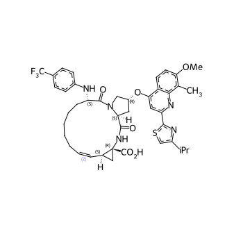 COc1ccc2c(O[C@@H]3C[C@H]4C(=O)N[C@]5(C(=O)O)C[C@H]5/C=C\CCCCC[C@H](Nc5ccc(C(F)(F)F)cc5)C(=O)N4C3)cc(-c3nc(C(C)C)cs3)nc2c1C